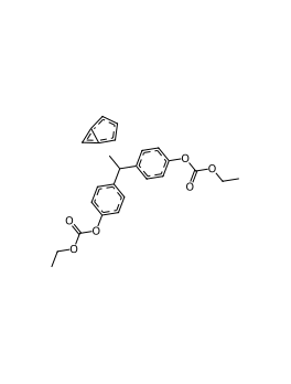 CCOC(=O)Oc1ccc(C(C)c2ccc(OC(=O)OCC)cc2)cc1.c1cc2cc-2c1